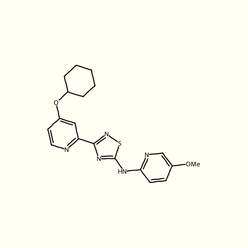 COc1ccc(Nc2nc(-c3cc(OC4CCCCC4)ccn3)ns2)nc1